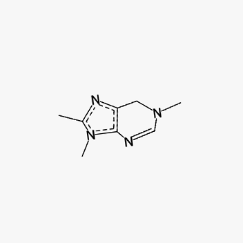 Cc1nc2c(n1C)N=CN(C)C2